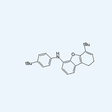 CC(C)(C)C1=CCCc2c1oc1c(Nc3ccc(C(C)(C)C)cc3)cccc21